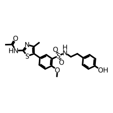 COc1ccc(-c2sc(NC(C)=O)nc2C)cc1S(=O)(=O)NCCc1ccc(O)cc1